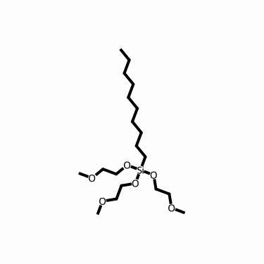 CCCCCCCCCC[Si](OCCOC)(OCCOC)OCCOC